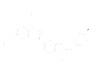 CCS(=O)(=O)c1ccc([C@H](CCO)NC(=O)c2ccc3c(c2)CN(C[C@H]2CC[C@H](C(F)(F)F)CC2)[C@@H]3C(C)C)cc1